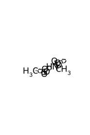 CC(=O)NC(Cc1ccc(OS(=O)(=O)c2ccc(C)cc2)cc1)C(=O)OCc1ccccc1